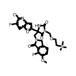 COc1ccc2c(c1F)C(=O)N(CC1(c3cc4nc(Cl)c(F)cc4o3)NC(=O)N(COCC[Si](C)(C)C)C1=O)C2